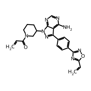 C=CC(=O)N1CCCC(n2nc(-c3ccc(-c4noc(C=C)n4)cc3)c3c(N)ncnc32)C1